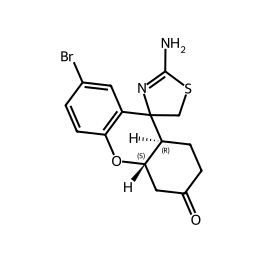 NC1=NC2(CS1)c1cc(Br)ccc1O[C@H]1CC(=O)CC[C@@H]12